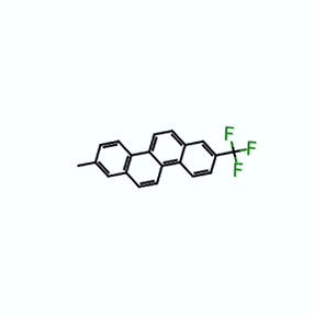 Cc1ccc2c(ccc3c4ccc(C(F)(F)F)cc4ccc23)c1